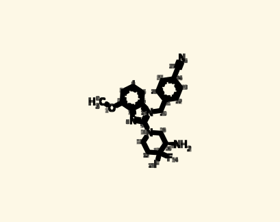 COc1cccc2c1nc(N1CCC(F)(F)[C@H](N)C1)n2Cc1ccc(C#N)cc1